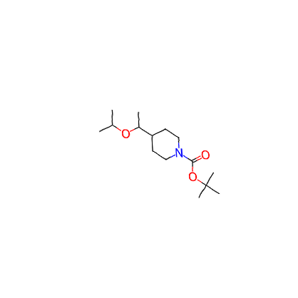 CC(C)OC(C)C1CCN(C(=O)OC(C)(C)C)CC1